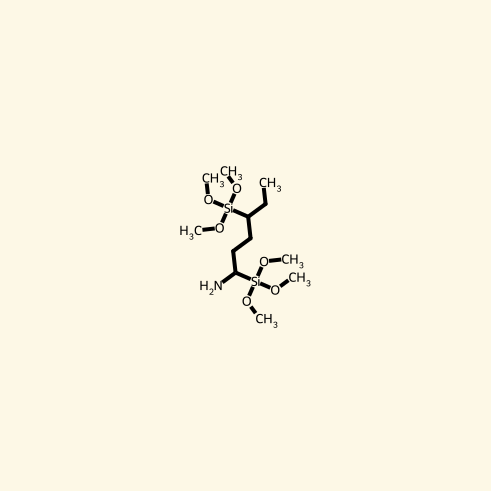 CCC(CCC(N)[Si](OC)(OC)OC)[Si](OC)(OC)OC